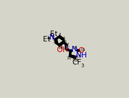 CCN(CC)c1ccc(/C=C/c2cc(C(F)(F)F)[nH]c(=O)n2)c(O)c1